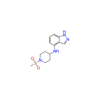 CS(=O)(=O)N1CCC(Nc2cccc3[nH]ncc23)CC1